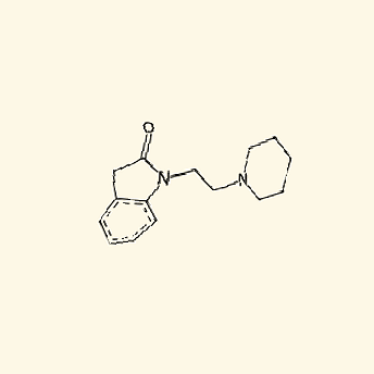 O=C1Cc2ccccc2N1CCN1CCCCC1